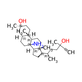 C#CC(C)(O)CC[C@@H](C)[C@H]1CC[C@@H]2[C@]1(C)CC[C@@H]1[C@@]3(C)CC[C@](C)(O)C[C@@H]3CC[C@]12N